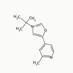 Cc1cc(-c2c[n+](C(C)(C)C)co2)ccn1